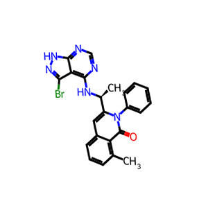 Cc1cccc2cc([C@H](C)Nc3ncnc4[nH]nc(Br)c34)n(-c3ccccc3)c(=O)c12